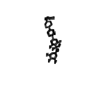 CCCCCC1CCC(c2ccc(-c3cc(F)c(C(F)(F)Oc4cc(F)c(F)c(F)c4)c(F)c3)nc2)CC1